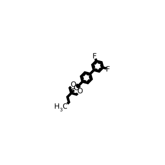 CCCC12COC(c3ccc(-c4cc(F)cc(F)c4)cc3)(OC1)OC2